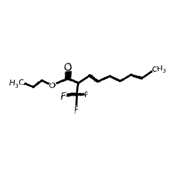 CCCCCCCC(C(=O)OCCC)C(F)(F)F